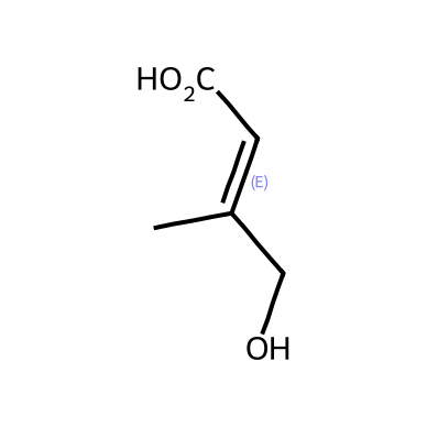 C/C(=C\C(=O)O)CO